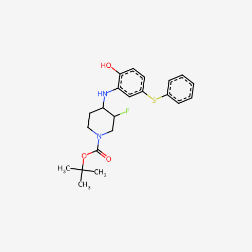 CC(C)(C)OC(=O)N1CCC(Nc2cc(Sc3ccccc3)ccc2O)C(F)C1